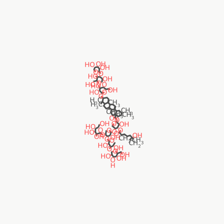 C=CC(C)(O)CCCC(C)C(=O)OC1C(OC2OCC(OC3OC(CO)C(O)C(O)C3O)C(OC3OCC(O)C(OC4OC(CO)C(O)C(O)C4O)C3O)C2O)COC(OC(=O)C23CCC(C)(C)CC2C2=CCC4C5(C)CCC(OC6OC(CO)C(OC7OC(CO)C(O)C(OC8OCC(O)C(O)C8O)C7O)C(O)C6O)C(C)(C)C5CCC4(C)C2(C)CC3)C1O